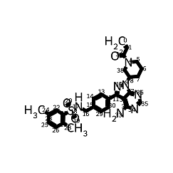 C=CC(=O)N1CCCC(n2nc(-c3ccc(CNS(=O)(=O)c4cc(C)ccc4C)cc3)c3c(N)ncnc32)C1